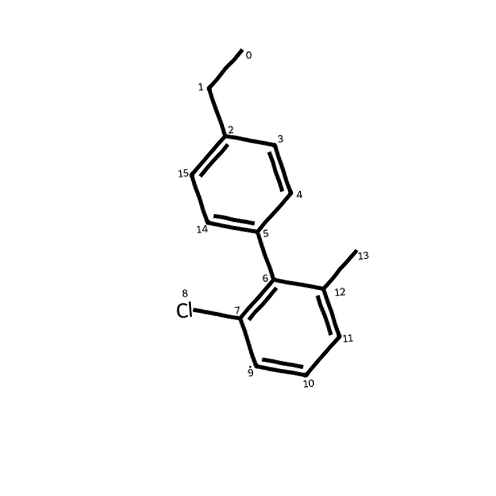 CCc1ccc(-c2c(Cl)[c]ccc2C)cc1